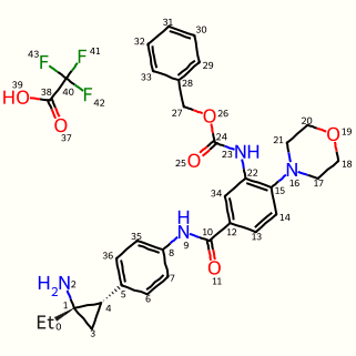 CC[C@]1(N)C[C@H]1c1ccc(NC(=O)c2ccc(N3CCOCC3)c(NC(=O)OCc3ccccc3)c2)cc1.O=C(O)C(F)(F)F